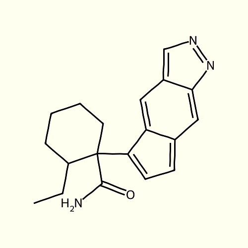 CCC1CCCCC1(C(N)=O)C1=CC=c2cc3c(cc21)=CN=N3